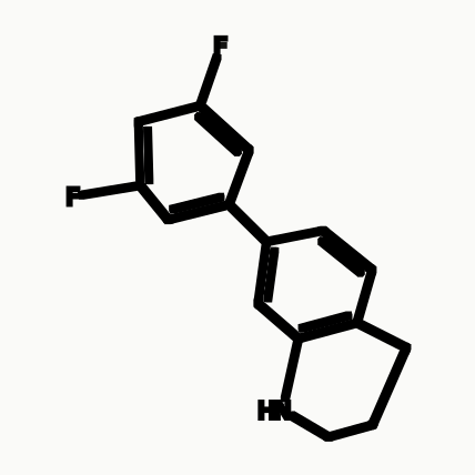 Fc1cc(F)cc(-c2ccc3c(c2)NCCC3)c1